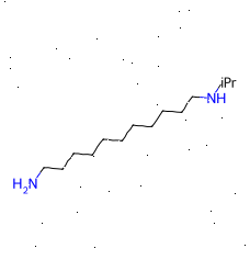 CC(C)NCCCCCCCCCCCN